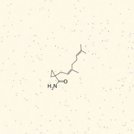 CC(C)=CCCC(C)=CCC1(C(N)=O)CC1